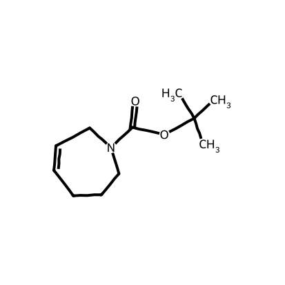 CC(C)(C)OC(=O)N1CC=CCCC1